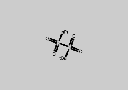 CCCS(=O)(=O)S(=O)(=O)C(C)(C)C